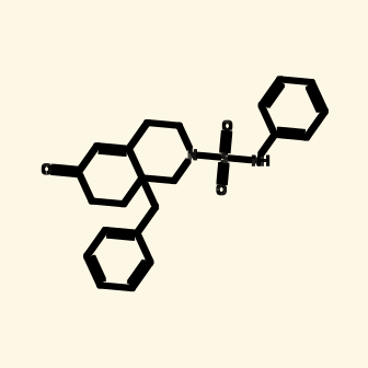 O=C1C=C2CCN(S(=O)(=O)Nc3ccccc3)CC2(Cc2ccccc2)CC1